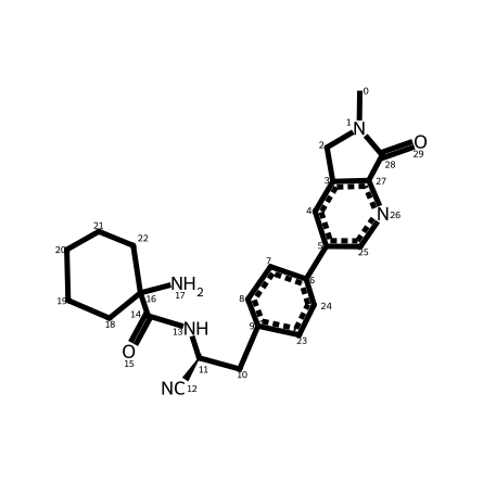 CN1Cc2cc(-c3ccc(C[C@@H](C#N)NC(=O)C4(N)CCCCC4)cc3)cnc2C1=O